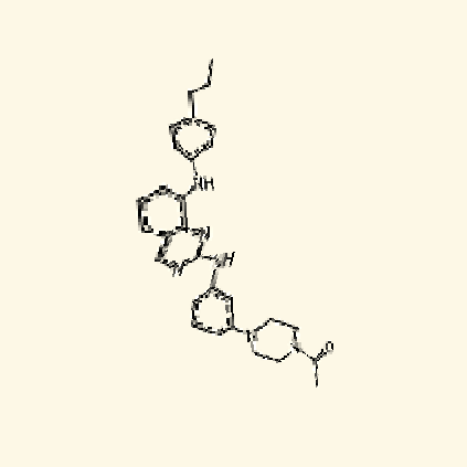 CCCc1ccc(Nc2cccc3cnc(Nc4cccc(N5CCN(C(C)=O)CC5)c4)nc23)cc1